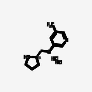 Cl.Cl.FC(F)(F)c1cncc(OC[C@@H]2CCCN2)c1